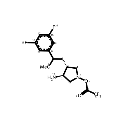 COC(C[C@@H]1CN(OC(=O)C(F)(F)F)C[C@H]1N)c1cc(F)cc(F)c1